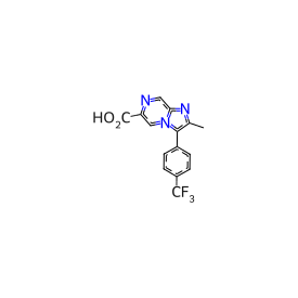 Cc1nc2cnc(C(=O)O)cn2c1-c1ccc(C(F)(F)F)cc1